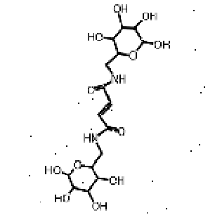 O=C(C=CC(=O)NCC1OC(O)C(O)C(O)C1O)NCC1OC(O)C(O)C(O)C1O